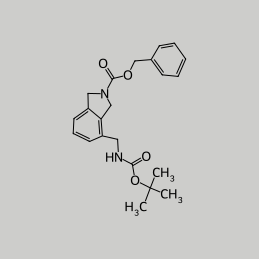 CC(C)(C)OC(=O)NCc1cccc2c1CN(C(=O)OCc1ccccc1)C2